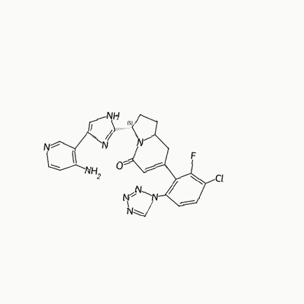 Nc1ccncc1-c1c[nH]c([C@@H]2CCC3CC(c4c(-n5cnnn5)ccc(Cl)c4F)=CC(=O)N32)n1